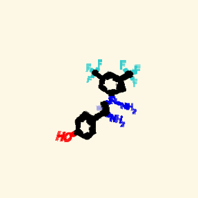 N/C(=C\N(N)c1cc(C(F)(F)F)cc(C(F)(F)F)c1)c1ccc(O)cc1